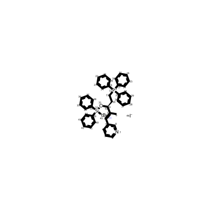 C/C(=C\c1cccnc1)[C@H](CC[P+](c1ccccc1)(c1ccccc1)c1ccccc1)O[Si](c1ccccc1)(c1ccccc1)C(C)(C)C.[I-]